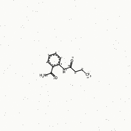 NC(=O)c1ccccc1NC(=O)CCC(F)(F)F